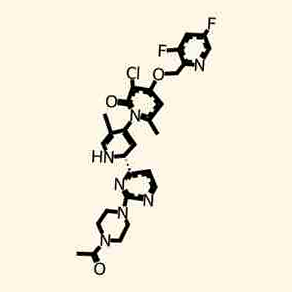 CC(=O)N1CCN(c2nccc([C@H]3C=C(n4c(C)cc(OCc5ncc(F)cc5F)c(Cl)c4=O)C(C)=CN3)n2)CC1